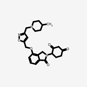 CC1CCN(Cc2cc(COc3cccc4c3CN(C3CCC(=O)CC3=O)C4=O)on2)CC1